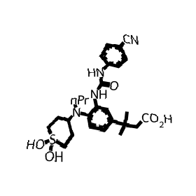 CCCN(c1ccc(C(C)(C)CC(=O)O)cc1NC(=O)Nc1ccc(C#N)cc1)C1CCS(O)(O)CC1